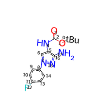 CC(C)(C)OC(=O)Nc1cn(-c2ccc(F)cc2)nc1N